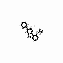 Oc1cc(-c2ccccc2OC(F)(F)F)c(O)cc1-c1ccccc1